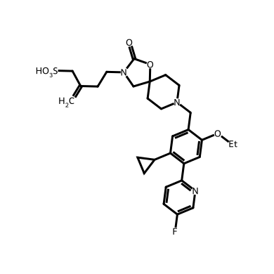 C=C(CCN1CC2(CCN(Cc3cc(C4CC4)c(-c4ccc(F)cn4)cc3OCC)CC2)OC1=O)CS(=O)(=O)O